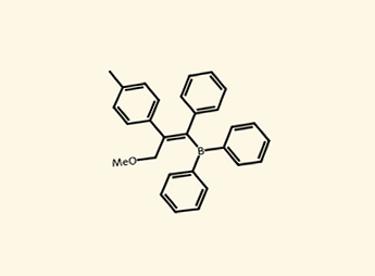 COCC(=C(B(c1ccccc1)c1ccccc1)c1ccccc1)c1ccc(C)cc1